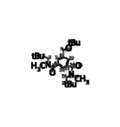 CN(CC(C)(C)C)C(=O)c1cc(COC(C)(C)C)cc(C(=O)N(C)CC(C)(C)C)c1